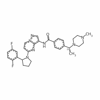 C[C@@H](c1ccc(C(=O)Nc2cnn3ccc(N4CCCC4c4cc(F)ccc4F)nc23)cc1)N1CCN(C)CC1